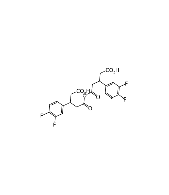 O=C(O)CC(CC(=O)OC(=O)CC(CC(=O)O)c1ccc(F)c(F)c1)c1ccc(F)c(F)c1